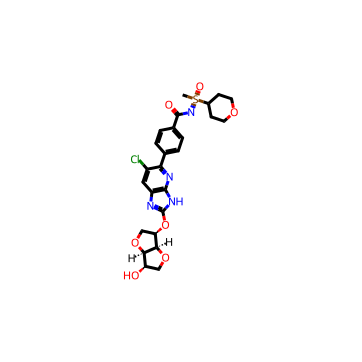 CS(=O)(=NC(=O)c1ccc(-c2nc3[nH]c(O[C@@H]4CO[C@H]5[C@@H]4OC[C@H]5O)nc3cc2Cl)cc1)C1CCOCC1